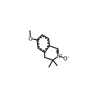 COc1ccc2c(c1)CC(C)(C)[N+]([O-])=C2